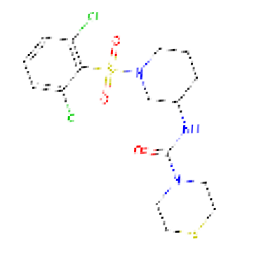 O=C(NC1CCCN(S(=O)(=O)c2c(Cl)cccc2Cl)C1)N1CCSCC1